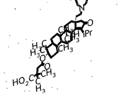 CC(=O)NCCN(CC[C@@]12CC[C@]3(C)[C@H](CCC4[C@@]5(C)CC[C@H](OC(=O)CC(C)(C)C(=O)O)C(C)(C)C5CC[C@]43C)C1=C(C(C)C)C(=O)C2)Cc1ccccn1